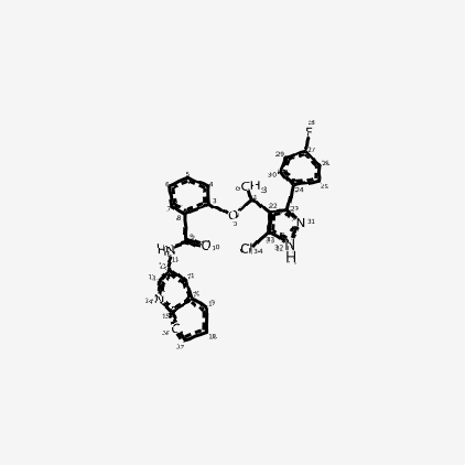 CC(Oc1ccccc1C(=O)Nc1cnc2ccccc2c1)c1c(-c2ccc(F)cc2)n[nH]c1Cl